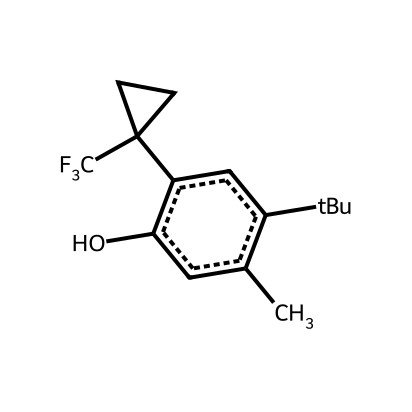 Cc1cc(O)c(C2(C(F)(F)F)CC2)cc1C(C)(C)C